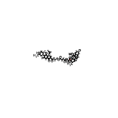 COc1c(N2CCNC(C)C2)c(F)cc2c(=O)c(C(=O)OCCOC(=O)/C=C/C(=O)OCC(=O)[C@]3(O)[C@@H](C)C[C@@H]4[C@H]5CCC6=CC(=O)C=C[C@@]6(C)[C@]5(F)[C@H](O)C[C@]43C)cn(C3CC3)c12